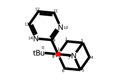 CC(C)(C)N1CC2CC(C1)N2Cc1ncccn1